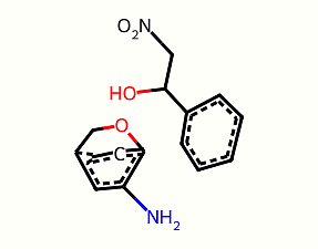 Nc1cc2ccc1OC2.O=[N+]([O-])CC(O)c1ccccc1